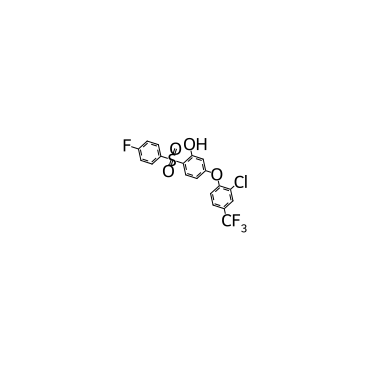 O=S(=O)(c1ccc(F)cc1)c1ccc(Oc2ccc(C(F)(F)F)cc2Cl)cc1O